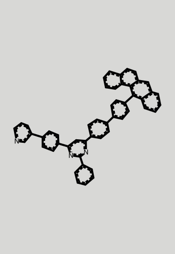 c1ccc(-c2nc(-c3ccc(-c4ccc(-c5c6ccccc6cc6ccc7ccccc7c56)cc4)cc3)cc(-c3ccc(-c4cccnc4)cc3)n2)cc1